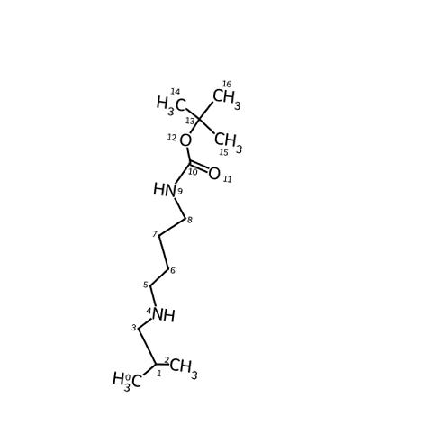 CC(C)CNCCCCNC(=O)OC(C)(C)C